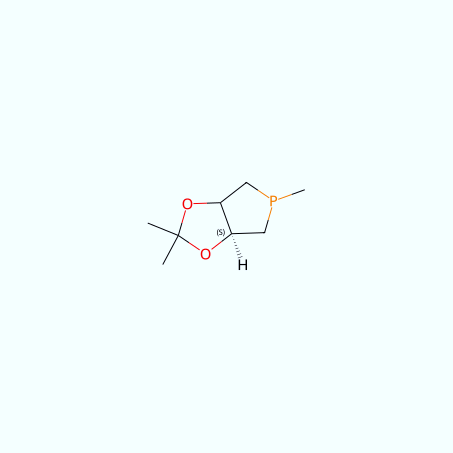 CP1CC2OC(C)(C)O[C@@H]2C1